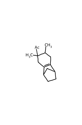 CC(=O)C1(C)CC2=C(CC1C)C1CCC2C1